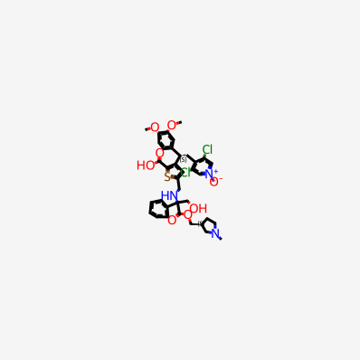 COc1ccc([C@H](Cc2c(Cl)c[n+]([O-])cc2Cl)c2cc(CNC(CO)(C(=O)OC[C@H]3CCN(C)C3)c3ccccc3)sc2C(=O)O)cc1OC